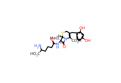 CO[C@@]1(NC(=O)CCCC(N)C(=O)O)C(=O)N2C(C(=O)O)=C(Cc3ccc(O)cc3O)CS[C@H]21